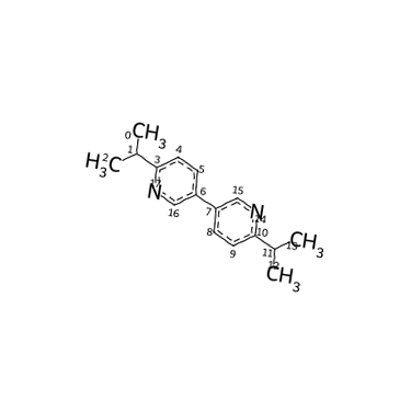 CC(C)c1ccc(-c2ccc(C(C)C)nc2)cn1